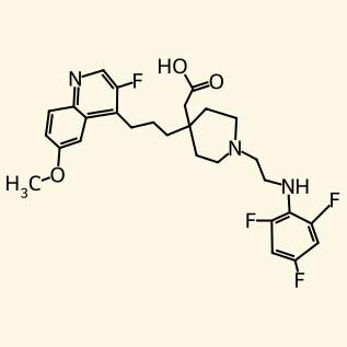 COc1ccc2ncc(F)c(CCCC3(CC(=O)O)CCN(CCNc4c(F)cc(F)cc4F)CC3)c2c1